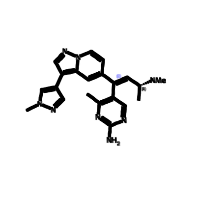 CN[C@H](C)/C=C(/c1ccn2ncc(-c3cnn(C)c3)c2c1)c1cnc(N)nc1C